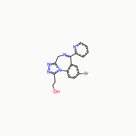 OCCc1nnc2n1-c1ccc(Br)cc1C(c1ccccn1)=NC2